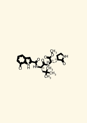 COC(=O)[C@H](C[C@@H]1CCNC1=O)NC(=O)[C@H](CC(C)(C)C)NC(=O)c1cc2cccc(Cl)c2[nH]1